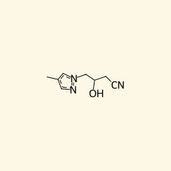 Cc1cnn(CC(O)CC#N)c1